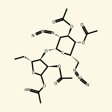 CC[C@H]1OC(OC(C)=N)[C@H](OC(C)=O)[C@@H]1O[C@H]1C[C@@H](CN=[N+]=[N-])[C@@H](OC(C)=O)[C@H](OC(C)=O)[C@H]1N=[N+]=[N-]